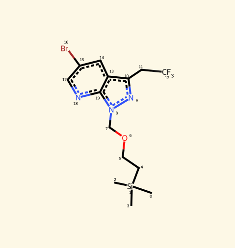 C[Si](C)(C)CCOCn1nc(CC(F)(F)F)c2cc(Br)cnc21